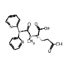 CN(C(=O)N(c1ccccn1)c1ccccn1)[C@@H](CCC(=O)O)C(=O)O